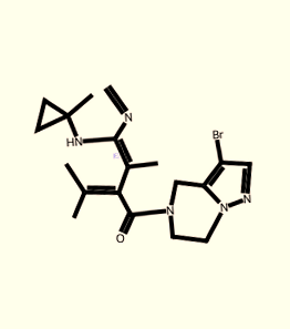 C=N/C(NC1(C)CC1)=C(\C)C(C(=O)N1CCn2ncc(Br)c2C1)=C(C)C